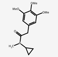 COc1cc(CC(=O)N(C)C2CC2)cc(OC)c1OC